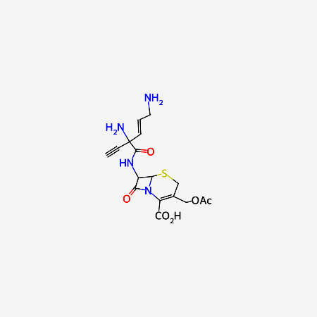 C#CC(N)(C=CCN)C(=O)NC1C(=O)N2C(C(=O)O)=C(COC(C)=O)CSC12